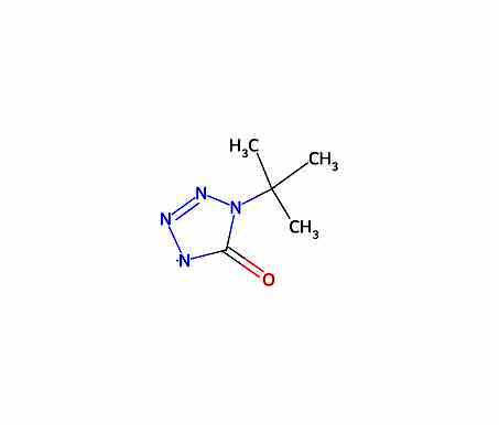 CC(C)(C)N1N=N[N]C1=O